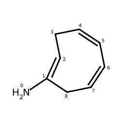 N/C1=C\C/C=C\C=C/C1